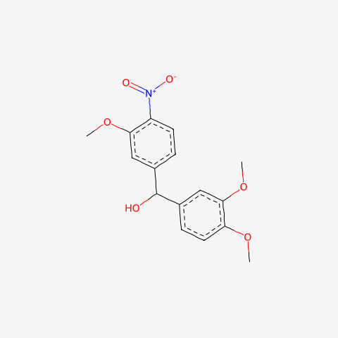 COc1ccc(C(O)c2ccc([N+](=O)[O-])c(OC)c2)cc1OC